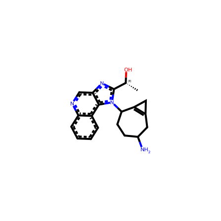 C[C@@H](O)c1nc2cnc3ccccc3c2n1C1CCC(N)CC2=C1C2